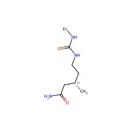 CCNC(=S)NC[CH][C@H](C)CC(N)=O